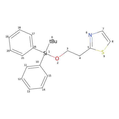 CC(C)(C)[Si](OCCc1nccs1)(c1ccccc1)c1ccccc1